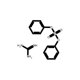 N=C(N)N.O=S(=O)(Oc1ccccc1)Oc1ccccc1